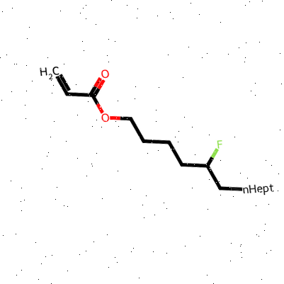 C=CC(=O)OCCCCC(F)CCCCCCCC